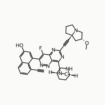 C#Cc1cccc2cc(O)cc(-c3nnc4c(N5C[C@H]6CC[C@@H]5CN6)nc(C#C[C@@]56CCCN5C[C@H](OC)C6)nc4c3F)c12